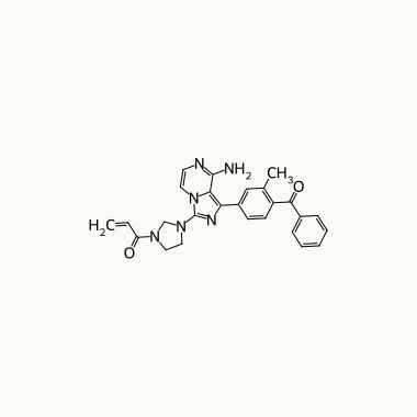 C=CC(=O)N1CCN(c2nc(-c3ccc(C(=O)c4ccccc4)c(C)c3)c3c(N)nccn23)C1